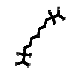 FC(F)C(F)(F)CCCOCCCC(F)(F)C(F)F